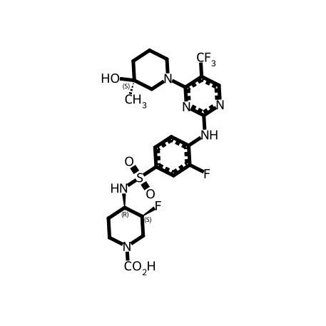 C[C@]1(O)CCCN(c2nc(Nc3ccc(S(=O)(=O)N[C@@H]4CCN(C(=O)O)C[C@@H]4F)cc3F)ncc2C(F)(F)F)C1